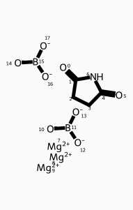 O=C1CCC(=O)N1.[Mg+2].[Mg+2].[Mg+2].[O-]B([O-])[O-].[O-]B([O-])[O-]